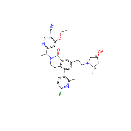 CCOc1cc(C(C)N2CCc3c(cc(CCN4C[C@@H](O)C[C@@H]4C)cc3-c3ccc(F)nc3C)C2=O)ncc1C#N